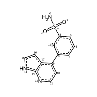 NS(=O)(=O)c1cccc(-c2ccnc3[nH]ccc23)n1